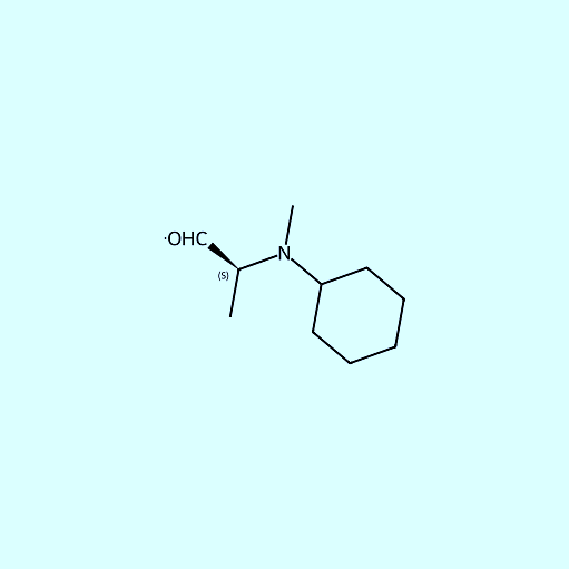 C[C@@H]([C]=O)N(C)C1CCCCC1